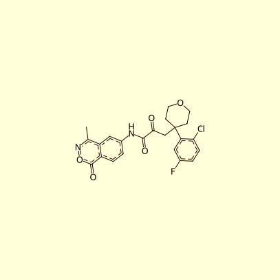 Cc1noc(=O)c2ccc(NC(=O)C(=O)CC3(c4cc(F)ccc4Cl)CCOCC3)cc12